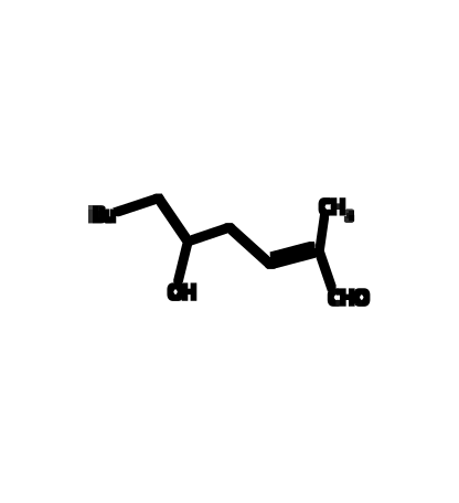 CCC(C)CC(O)CC=C(C)C=O